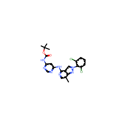 Cc1cnc(Nc2cc(NC(=O)OC(C)(C)C)ncn2)c2cn(-c3c(Cl)cccc3Cl)nc12